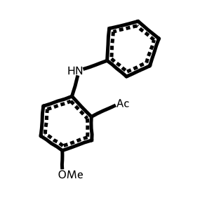 COc1ccc(Nc2ccccc2)c(C(C)=O)c1